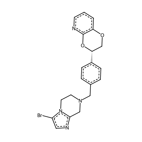 Brc1cnc2n1CCN(Cc1ccc([C@H]3COc4cccnc4O3)cc1)C2